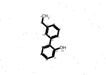 [CH2]Cc1cccc(-c2ccccc2O)c1